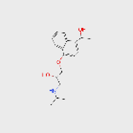 CC(C)NCC(O)COc1ccc(C(C)O)c2ccccc12